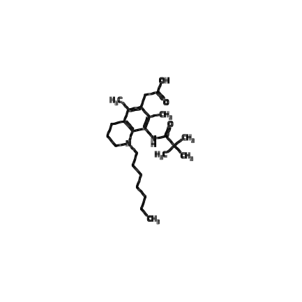 CCCCCCCN1CCCc2c(C)c(CC(=O)O)c(C)c(NC(=O)C(C)(C)C)c21